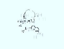 COc1ccc2c(O[C@@H]3C[C@H]4C(=O)N[C@]5(C(=O)NS(=O)(=O)C6CC6)C[C@H]5/C=C\CCCCC[C@H](N)C(=O)N4C3)cc(-c3nc(C4CC4)cs3)nc2c1C.Cl